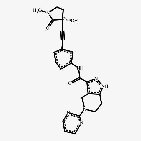 CN1CC[C@@](O)(C#Cc2cccc(NC(=O)c3n[nH]c4c3CN(c3ncccn3)CC4)c2)C1=O